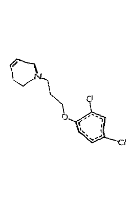 Clc1ccc(OCCCN2CC=CCC2)c(Cl)c1